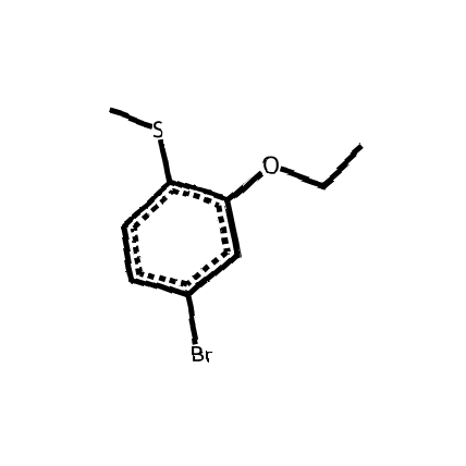 CCOc1cc(Br)ccc1SC